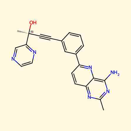 Cc1nc(N)c2nc(-c3cccc(C#C[C@](C)(O)c4cnccn4)c3)ccc2n1